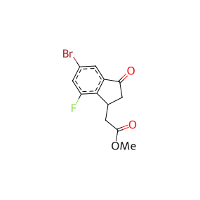 COC(=O)CC1CC(=O)c2cc(Br)cc(F)c21